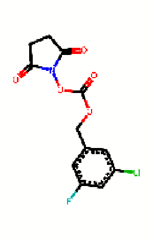 O=C(OCc1cc(F)cc(Cl)c1)ON1C(=O)CCC1=O